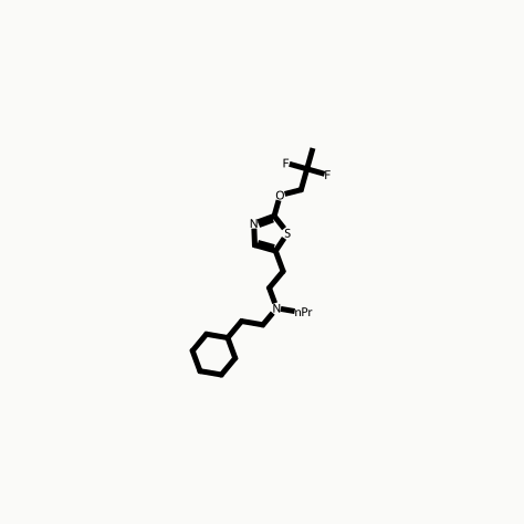 CCCN(CCc1cnc(OCC(C)(F)F)s1)CCC1CCCCC1